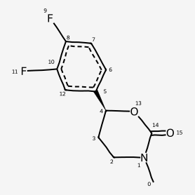 CN1CC[C@@H](c2ccc(F)c(F)c2)OC1=O